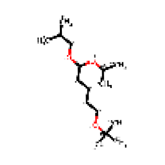 CC(C)CO[C](CCCCOC(C)(C)C)OC(C)C